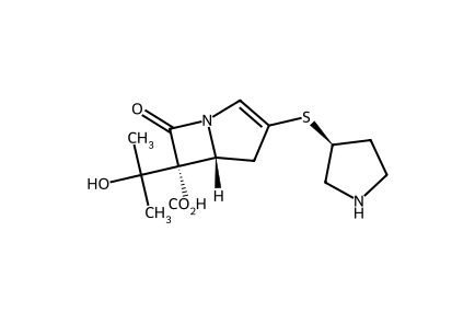 CC(C)(O)[C@@]1(C(=O)O)C(=O)N2C=C(S[C@H]3CCNC3)C[C@@H]21